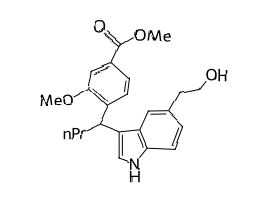 CCCC(c1ccc(C(=O)OC)cc1OC)c1c[nH]c2ccc(CCO)cc12